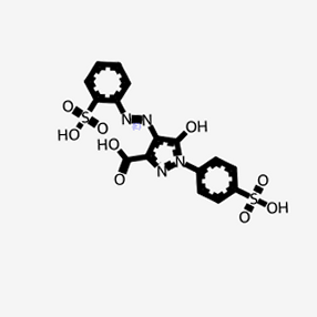 O=C(O)c1nn(-c2ccc(S(=O)(=O)O)cc2)c(O)c1/N=N/c1ccccc1S(=O)(=O)O